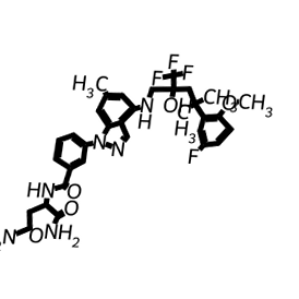 COc1ccc(F)cc1C(C)(C)CC(O)(CNc1cc(C)cc2c1cnn2-c1cccc(C(=O)NC(CC(N)=O)C(N)=O)c1)C(F)(F)F